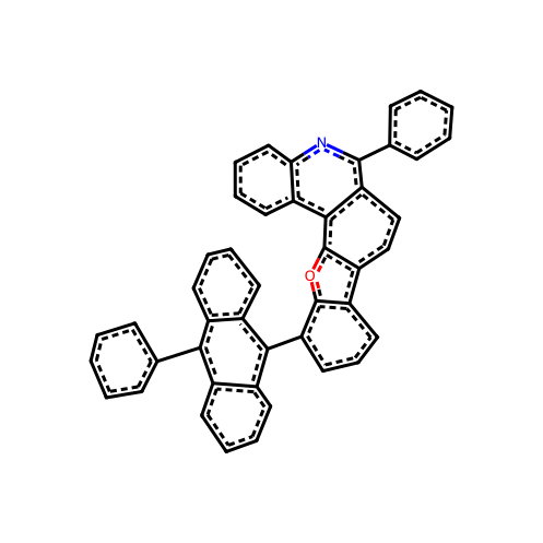 c1ccc(-c2c3ccccc3c(-c3cccc4c3oc3c4ccc4c(-c5ccccc5)nc5ccccc5c43)c3ccccc23)cc1